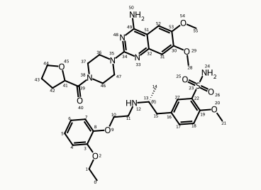 CCOc1ccccc1OCCN[C@H](C)Cc1ccc(OC)c(S(N)(=O)=O)c1.COc1cc2nc(N3CCN(C(=O)C4CCCO4)CC3)nc(N)c2cc1OC